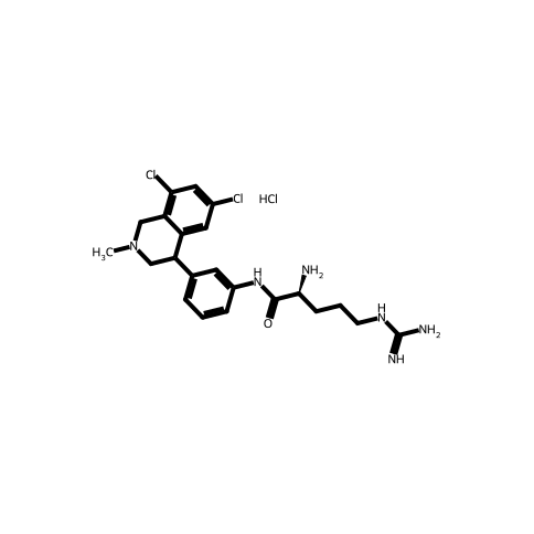 CN1Cc2c(Cl)cc(Cl)cc2C(c2cccc(NC(=O)[C@@H](N)CCCNC(=N)N)c2)C1.Cl